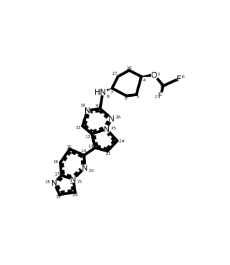 FC(F)O[C@H]1CC[C@H](Nc2ncc3c(-c4ccc5nccn5n4)ccn3n2)CC1